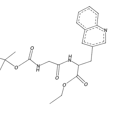 CCOC(=O)C(Cc1cnc2ccccc2c1)NC(=O)CNC(=O)OC(C)(C)C